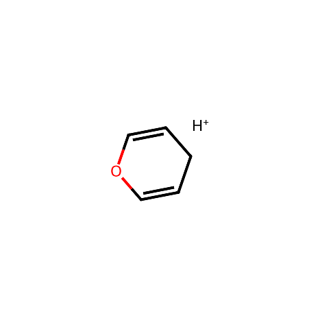 C1=COC=CC1.[H+]